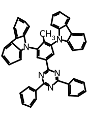 Cc1c(-n2c3ccccc3c3ccccc32)cc(-c2nc(-c3ccccc3)nc(-c3ccccc3)n2)cc1-n1c2ccccc2c2ccccc21